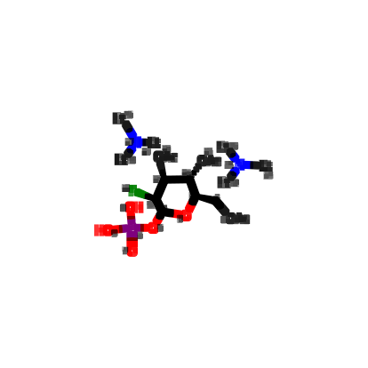 CC(=O)OC[C@H]1OC(OP(=O)(O)O)[C@@H](F)[C@@H](OC(C)=O)[C@@H]1OC(C)=O.CCN(CC)CC.CCN(CC)CC